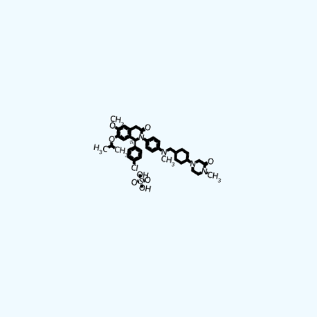 COc1cc2c(cc1OC(C)C)[C@H](c1ccc(Cl)cc1)N(c1ccc(N(C)CC3CCC(N4CCN(C)C(=O)C4)CC3)cc1)C(=O)C2.O=S(=O)(O)O